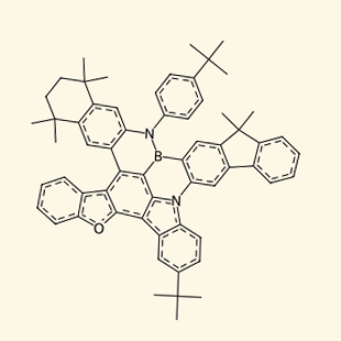 CC(C)(C)c1ccc(N2B3c4cc5c(cc4-n4c6ccc(C(C)(C)C)cc6c6c7oc8ccccc8c7c(c3c64)-c3cc4c(cc32)C(C)(C)CCC4(C)C)-c2ccccc2C5(C)C)cc1